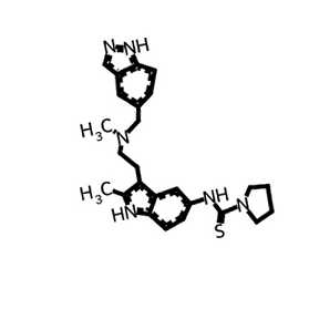 Cc1[nH]c2ccc(NC(=S)N3CCCC3)cc2c1CCN(C)Cc1ccc2[nH]ncc2c1